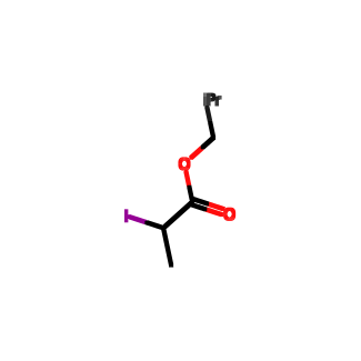 CC(C)COC(=O)C(C)I